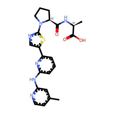 Cc1ccnc(Nc2cccc(-c3cnc(N4CCC[C@H]4C(=O)N[C@@H](C)C(=O)O)s3)n2)c1